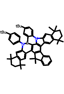 CC(C)(C)c1ccc(N2B3c4cc(C(C)(C)C)ccc4-n4c5cc6c(cc5c5c7c(c(c3c54)-c3cc4c(cc32)C(C)(C)CCC4(C)C)C(C)(C)c2ccccc2-7)C(C)(C)CCC6(C)C)cc1